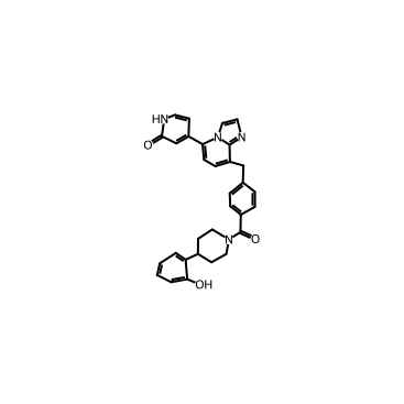 O=C(c1ccc(Cc2ccc(-c3cc[nH]c(=O)c3)n3ccnc23)cc1)N1CCC(c2ccccc2O)CC1